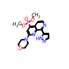 COP(=O)(OC)c1cc(N2CCOCC2)nc2c(-c3ccn[nH]3)nccc12